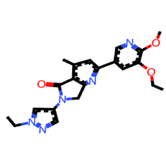 CCOc1cc(-c2cc(C)c3c(n2)CN(c2cnn(CC)c2)C3=O)cnc1OC